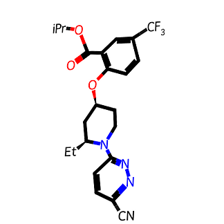 CC[C@H]1C[C@@H](Oc2ccc(C(F)(F)F)cc2C(=O)OC(C)C)CCN1c1ccc(C#N)nn1